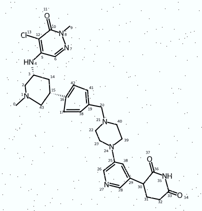 CN1C[C@H](Nc2cnn(C)c(=O)c2Cl)C[C@H](c2ccc(CN3CCN(c4cncc(C5CCC(=O)NC5=O)c4)CC3)cc2)C1